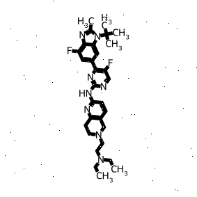 CCN(CC)CCN1CCc2nc(Nc3ncc(F)c(-c4cc(F)c5nc(C)n(C(C)(C)C)c5c4)n3)ccc2C1